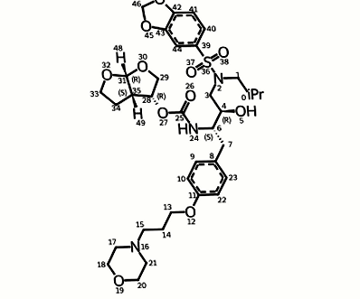 CC(C)CN(C[C@@H](O)[C@H](Cc1ccc(OCCCN2CCOCC2)cc1)NC(=O)O[C@H]1CO[C@H]2OCC[C@H]21)S(=O)(=O)c1ccc2c(c1)OCO2